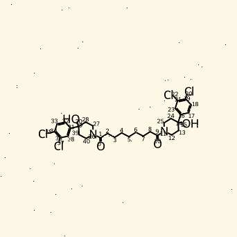 O=C(CCCCCCCC(=O)N1CCC(O)(c2ccc(Cl)c(Cl)c2)CC1)N1CCC(O)(c2ccc(Cl)c(Cl)c2)CC1